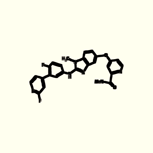 CNC(=O)c1cc(Oc2ccc3c(c2)nc(Nc2ccc(F)c(-c4ccnc(F)c4)c2)n3C)ccn1